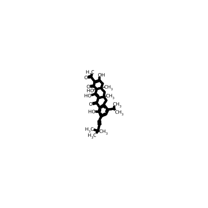 CC(=O)C1=C(O)C[C@@]2(C)C[C@@]3(C)Cc4c(C(C)C)cc(C#CC(C)(C)C)c(O)c4C(=O)C3=C(O)[C@@]2(O)C1=O